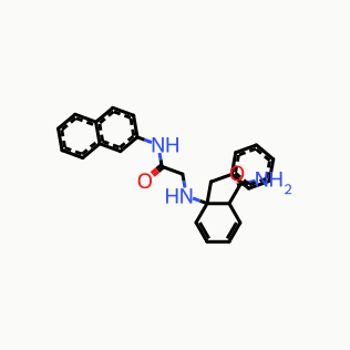 NC(=O)C1C=CC=CC1(Cc1ccccc1)NCC(=O)Nc1ccc2ccccc2c1